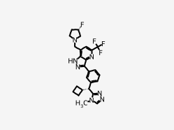 Cn1cnnc1[C@@H](c1cccc(-c2n[nH]c3c(CN4CC[C@H](F)C4)cc(C(F)(F)F)nc23)c1)C1CCC1